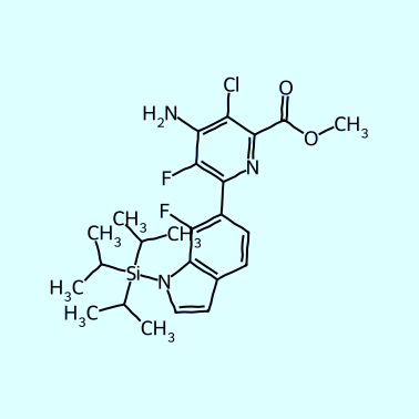 COC(=O)c1nc(-c2ccc3ccn([Si](C(C)C)(C(C)C)C(C)C)c3c2F)c(F)c(N)c1Cl